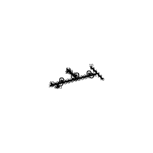 CCCCCC(CCCCC)CCOC(=O)CCCCCCCC(CCCCCCCC(=O)OCC(CCC(C)C)C(C)C)C(=O)OCCCN(C)C